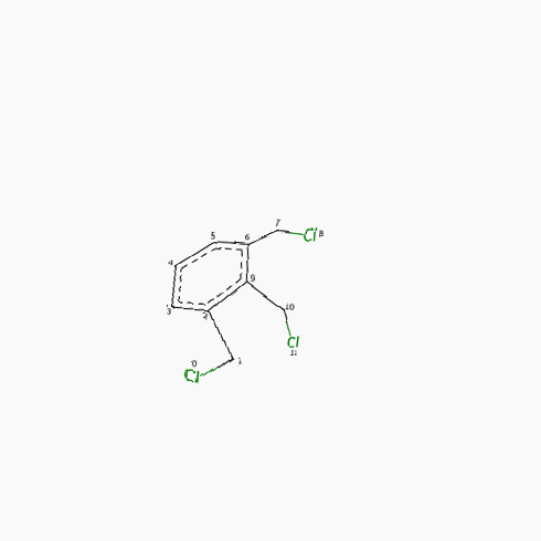 ClCc1[c]ccc(CCl)c1CCl